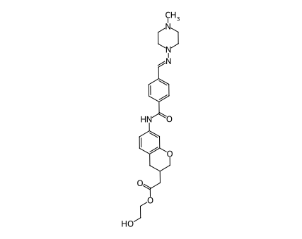 CN1CCN(N=Cc2ccc(C(=O)Nc3ccc4c(c3)OCC(CC(=O)OCCO)C4)cc2)CC1